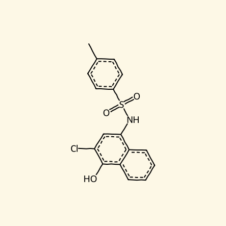 Cc1ccc(S(=O)(=O)Nc2cc(Cl)c(O)c3ccccc23)cc1